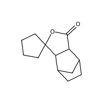 O=C1OC2(CCCC2)C2C3CCC(C3)C12